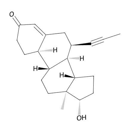 CC#C[C@@H]1CC2=CC(=O)CC[C@@H]2[C@H]2CC[C@]3(C)[C@@H](O)CC[C@H]3[C@@H]21